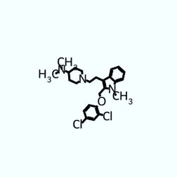 CN(C)C1CCN(CCc2c(COc3ccc(Cl)cc3Cl)n(C)c3ccccc23)CC1